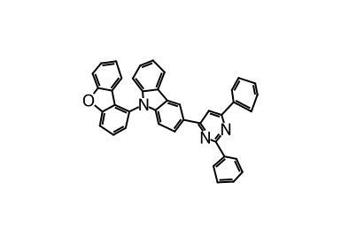 c1ccc(-c2cc(-c3ccc4c(c3)c3ccccc3n4-c3cccc4oc5ccccc5c34)nc(-c3ccccc3)n2)cc1